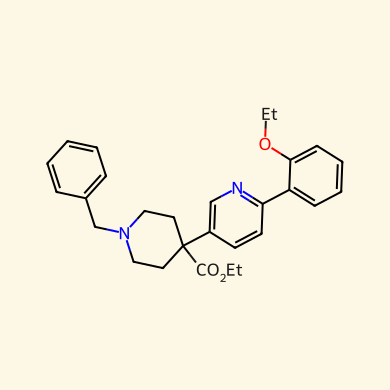 CCOC(=O)C1(c2ccc(-c3ccccc3OCC)nc2)CCN(Cc2ccccc2)CC1